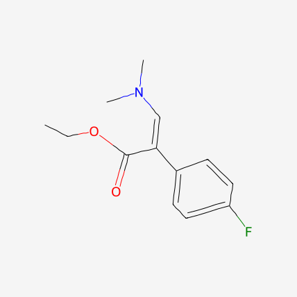 CCOC(=O)C(=CN(C)C)c1ccc(F)cc1